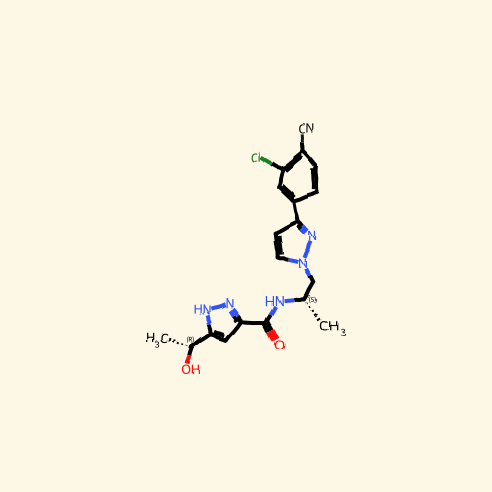 C[C@@H](Cn1ccc(-c2ccc(C#N)c(Cl)c2)n1)NC(=O)c1cc([C@@H](C)O)[nH]n1